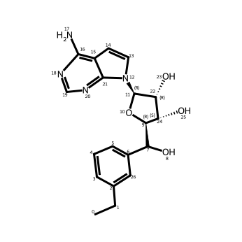 CCc1cccc(C(O)[C@H]2O[C@@H](n3ccc4c(N)ncnc43)[C@H](O)[C@@H]2O)c1